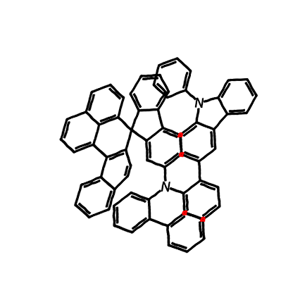 c1ccc(-c2ccccc2N(c2ccc3c(c2)C2(c4ccccc4-3)c3ccc4ccccc4c3-c3cccc4cccc2c34)c2ccccc2-c2ccc3c(c2)c2ccccc2n3-c2ccccc2)cc1